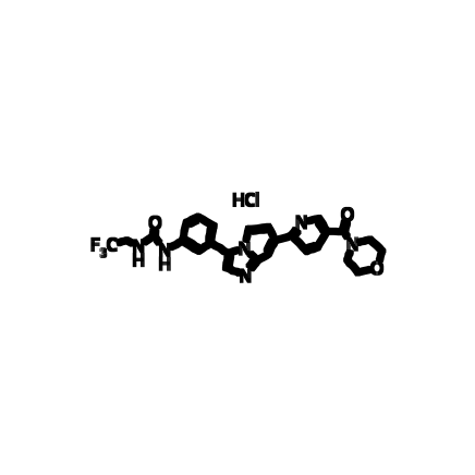 Cl.O=C(NCC(F)(F)F)Nc1cccc(-c2cnc3cc(-c4ccc(C(=O)N5CCOCC5)cn4)ccn23)c1